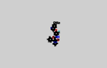 COc1ccc2c(Oc3ccc(NC(=O)c4c(-c5ccccc5)n5n(c4=O)CCC5)cc3F)ccnc2c1